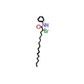 CCCCCCCCCCCCCCC(Br)C(=O)Nc1ccccc1